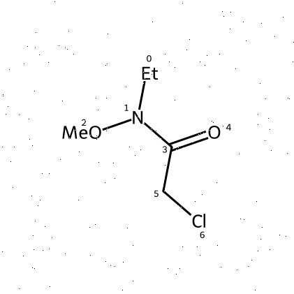 CCN(OC)C(=O)CCl